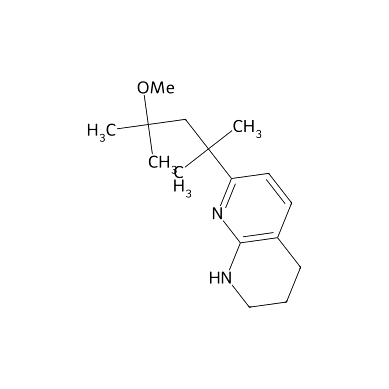 COC(C)(C)CC(C)(C)c1ccc2c(n1)NCCC2